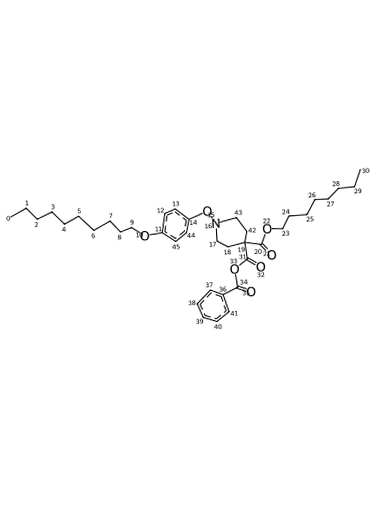 CCCCCCCCCCOc1ccc(ON2CCC(C(=O)OCCCCCCCC)(C(=O)OC(=O)c3ccccc3)CC2)cc1